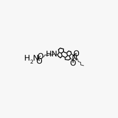 CCCCCN1C(=O)c2ccc3c4cccc5c(NCCCCCOC(N)=O)ccc(c6ccc(c2c36)C1=O)c54